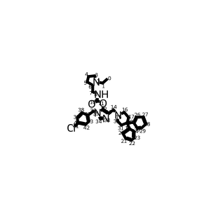 CCN1CCCC1CNC(=O)Oc1c(CN2CCC(c3ccccc3)(c3ccccc3)CC2)ncn1Cc1ccc(Cl)cc1